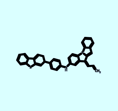 C=C/C=c1/c2cc(Nc3ccc(C4C=c5sc6ccccc6c5=CC4)cc3)ccc2n2c1cc1ccccc12